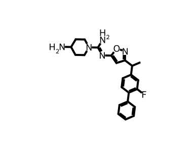 CC(c1ccc(-c2ccccc2)c(F)c1)c1cc(/N=C(\N)N2CCC(N)CC2)on1